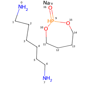 NCCCCCCN.O=[PH]1OCCCCO1.[Na]